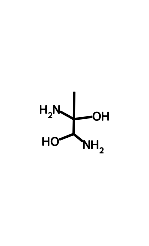 CC(N)(O)C(N)O